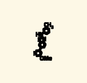 COc1cncc(-c2ccc3nc(Nc4cccc(C)c4)sc3c2)c1